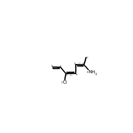 C=C/C(Cl)=C\C=C(\C)N